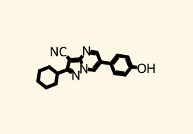 N#Cc1c(C2CCCCC2)nn2cc(-c3ccc(O)cc3)cnc12